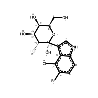 OC[C@H]1O[C@@](O)(c2c[nH]c3ccc(Br)c(Cl)c23)[C@H](O)[C@@H](O)[C@H]1O